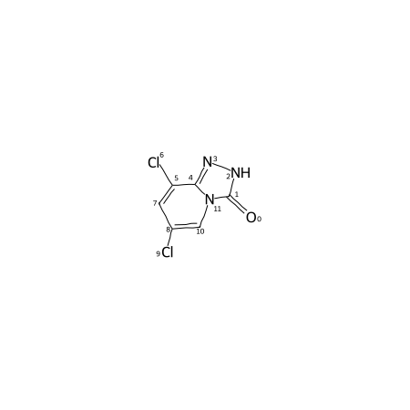 O=c1[nH]nc2c(Cl)cc(Cl)cn12